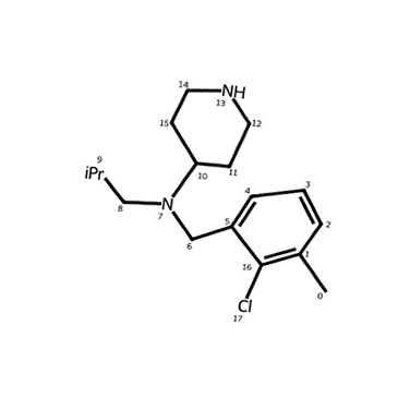 Cc1cccc(CN(CC(C)C)C2CCNCC2)c1Cl